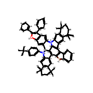 CC(C)(C)c1ccc(N2B3c4cc5oc(-c6ccccc6)c(-c6ccccc6)c5cc4-n4c5cc6c(cc5c5c7c(sc8ccccc87)c(c3c54)-c3cc4c(cc32)C(C)(C)CCC4(C)C)C(C)(C)CCC6(C)C)cc1